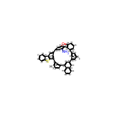 Cc1c2cccc1-c1cc(cc3c1sc1ccccc13)C1C=c3oc4cccc(c4c3=C(N)C1)-c1cccc(c1C)-c1cc-2c2ccccc2c1